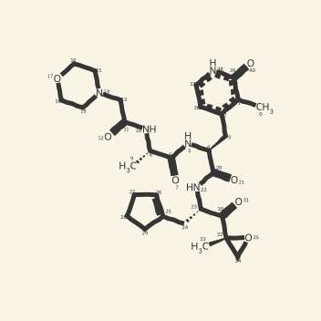 Cc1c(C[C@H](NC(=O)[C@H](C)NC(=O)CN2CCOCC2)C(=O)N[C@@H](CC2=CCCC2)C(=O)[C@@]2(C)CO2)cc[nH]c1=O